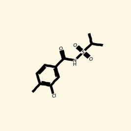 Cc1ccc(C(=O)NS(=O)(=O)C(C)C)cc1Cl